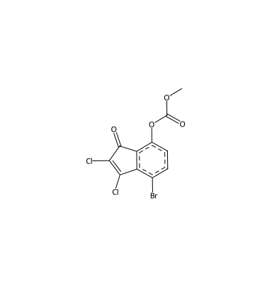 COC(=O)Oc1ccc(Br)c2c1C(=O)C(Cl)=C2Cl